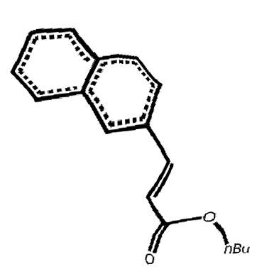 CCCCOC(=O)C=Cc1ccc2ccccc2c1